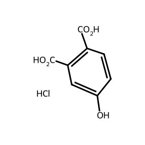 Cl.O=C(O)c1ccc(O)cc1C(=O)O